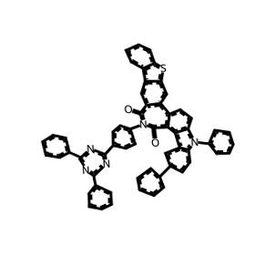 O=c1c2cc3c(cc2c2ccc4c(c5cc(-c6ccccc6)ccc5n4-c4ccccc4)c2c(=O)n1-c1ccc(-c2nc(-c4ccccc4)nc(-c4ccccc4)n2)cc1)sc1ccccc13